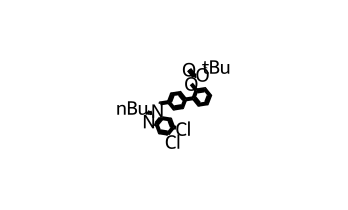 CCCCc1nc2cc(Cl)c(Cl)cc2n1Cc1ccc(-c2ccccc2OC(=O)OC(C)(C)C)cc1